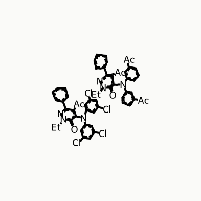 CCn1nc(-c2ccccc2)c(C(C)=O)c(N(c2cc(Cl)cc(Cl)c2)c2cc(Cl)cc(Cl)c2)c1=O.CCn1nc(-c2ccccc2)c(C(C)=O)c(N(c2cccc(C(C)=O)c2)c2cccc(C(C)=O)c2)c1=O